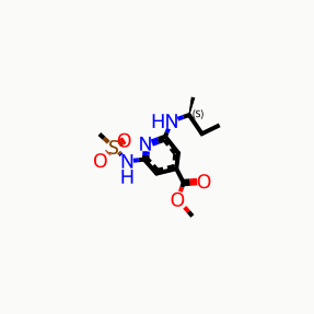 CC[C@H](C)Nc1cc(C(=O)OC)cc(NS(C)(=O)=O)n1